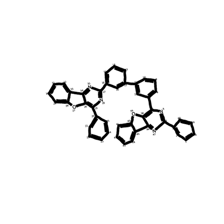 c1ccc(-c2nc(-c3cccc(-c4cccc(-c5nc(-c6ccccc6)c6oc7ccccc7c6n5)c4)c3)c3oc4ccccc4c3n2)cc1